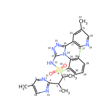 Cc1cnc(C(C)C(C)S(=O)(=O)Nc2nnc(-c3cncc(C)c3)n2-c2c(F)cccc2F)nc1